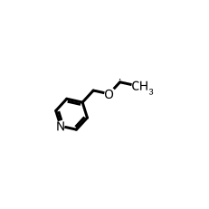 C[CH]OCc1ccncc1